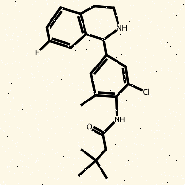 Cc1cc(C2NCCc3ccc(F)cc32)cc(Cl)c1NC(=O)CC(C)(C)C